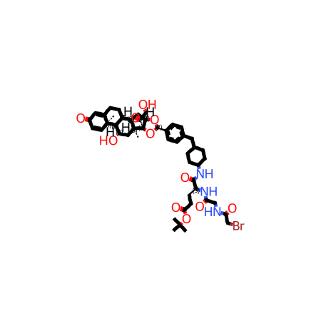 CC(C)(C)OC(=O)CC[C@H](NC(=O)CNC(=O)CBr)C(=O)NC1CCC(Cc2ccc([C@@H]3O[C@@H]4C[C@H]5[C@@H]6CCC7=CC(=O)C=C[C@]7(C)[C@H]6[C@@H](O)C[C@]5(C)[C@]4(C(=O)CO)O3)cc2)CC1